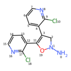 NN1CC(c2cccnc2Cl)=C(c2cccnc2Cl)O1